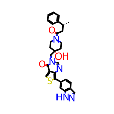 C[C@H](CC(=O)N1CCC(O)(Cn2cnc3c(-c4ccc5cn[nH]c5c4)scc3c2=O)CC1)c1ccccc1